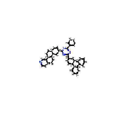 c1ccc(-c2nc(-c3ccc4ccc5c6cnccc6ccc5c4c3)nc(-c3ccc4c5ccccc5c5ccccc5c4c3)n2)cc1